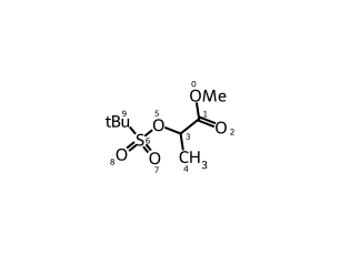 COC(=O)C(C)OS(=O)(=O)C(C)(C)C